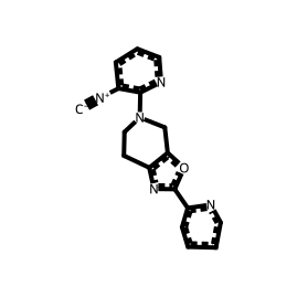 [C-]#[N+]c1cccnc1N1CCc2nc(-c3ccccn3)oc2C1